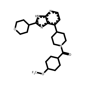 O=C(C1CCC(OC(F)(F)F)CC1)N1CCC(c2ccnc3[nH]c(C4CCOCC4)nc23)CC1